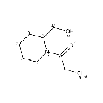 CCC(=O)N1CCCCC1CO